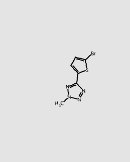 Cn1nnc(-c2ccc(Br)s2)n1